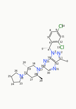 Cc1nn([C@H](C)c2ccc(Cl)cc2Cl)c2nc(N3C[C@@H](C)C(N4CCCC4)C[C@@H]3C)cnc12